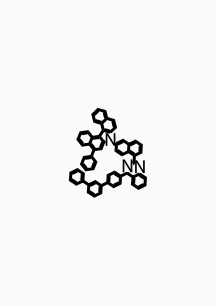 c1ccc(-c2cccc(-c3ccc(-c4nc(-c5cccc6cc(-n7c8ccc9ccccc9c8c8c9ccccc9c(-c9ccccc9)cc87)ccc56)nc5ccccc45)cc3)c2)cc1